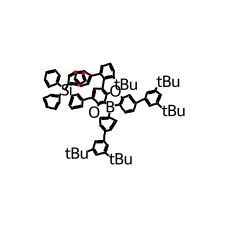 CC(C)(C)c1cc(-c2ccc3c(c2)Oc2c(-c4cccc([Si](c5ccccc5)(c5ccccc5)c5ccccc5)c4)cc(-c4c(-c5ccccc5)cccc4C(C)(C)C)c4c2B3c2ccc(-c3cc(C(C)(C)C)cc(C(C)(C)C)c3)cc2O4)cc(C(C)(C)C)c1